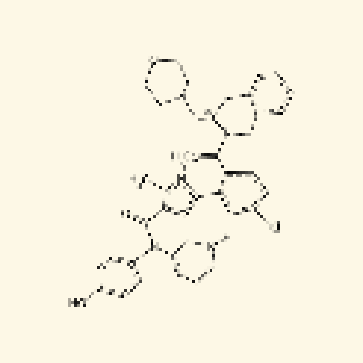 Cc1c(C(=O)N(C2=NC=CN(F)C2)c2ccc(O)cc2)cc(-c2cc(Cl)ccc2C(=O)N2Cc3ccccc3C[C@H]2CN2CCOCC2)n1C